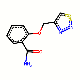 NC(=O)c1ccccc1OCc1csnn1